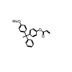 C=CC(=O)Oc1ccc(C(C)(c2ccccc2)c2ccc(OC)cc2)cc1